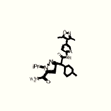 Cc1noc(C)c1-c1ccc(NC(=O)C(c2cc(C(N)=O)n(C(C)C)n2)C2CCC(C)CC2)nc1